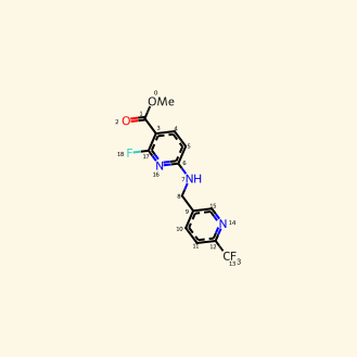 COC(=O)c1ccc(NCc2ccc(C(F)(F)F)nc2)nc1F